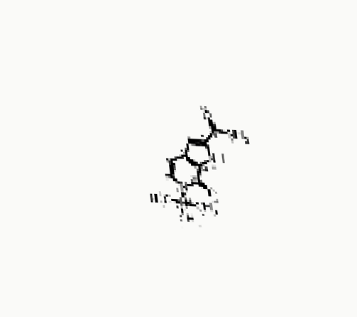 C[N+](C)(C)n1ccc2cc(C(N)=O)[nH]c2c1=O